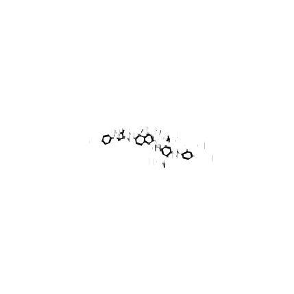 CC(O)Oc1cc(/N=N/c2c(S(=O)(=O)O)cc3c(S(=O)(=O)O)c(/N=N/C4C(=O)N(c5ccc(S(=O)(=O)O)cc5)N=C4C(=O)O)ccc3c2O)c(OC(C)O)cc1/N=N/c1ccc(S(=O)(=O)O)cc1C(=O)O